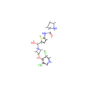 O=C(Nc1ccc(C(O)N2CC(Oc3c(Cl)cncc3Cl)C2)s1)[C@@H]1CCCN1